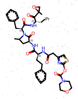 CC(C)C[C@H](NC(=O)[C@H](Cc1ccccc1)N1C(=O)[C@@H](NC(=O)[C@H](CCc2ccccc2)NC(=O)Cc2csc(OC(=O)N3CCOCC3)n2)CC1C)C(=O)C1(C)CO1